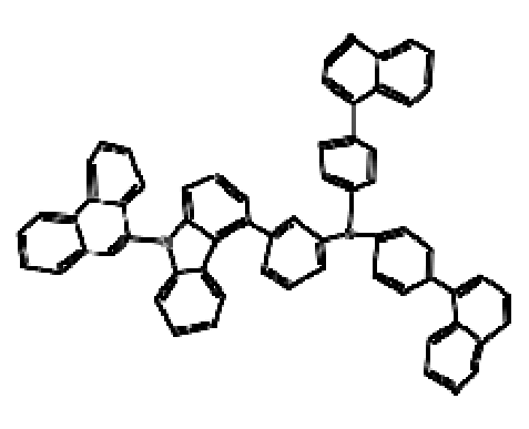 c1cc(-c2cccc3c2c2ccccc2n3-c2cc3ccccc3c3ccccc23)cc(N(c2ccc(-c3cccc4ccccc34)cc2)c2ccc(-c3cccc4ccccc34)cc2)c1